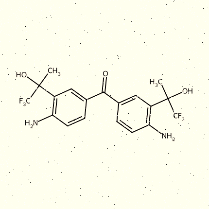 CC(O)(c1cc(C(=O)c2ccc(N)c(C(C)(O)C(F)(F)F)c2)ccc1N)C(F)(F)F